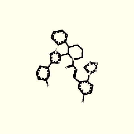 O=C(C=Cc1cc(Cl)ccc1-n1cnnn1)N1CCCC(c2ccccc2)C1c1nc(-c2cccc(F)c2)c[nH]1